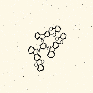 c1ccc2c(c1)Oc1cc3c4ccccc4n(-c4cc(-n5c6ccccc6c6cc7c(cc65)Oc5ccccc5O7)cc(-n5c6ccccc6c6cc7c(cc65)Oc5ccccc5O7)c4)c3cc1O2